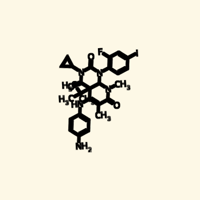 CC1=C(Nc2ccc(N)cc2)C2(C(C)(C)C)C(=O)N(C3CC3)C(=O)N(c3ccc(I)cc3F)C2N(C)C1=O